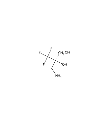 C[C@](O)(CN)C(F)(F)F.Cl